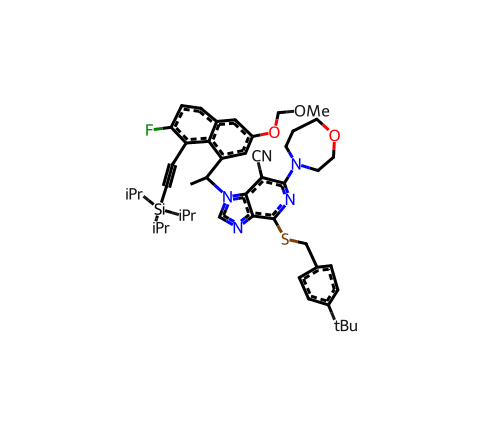 COCOc1cc(C(C)n2cnc3c(SCc4ccc(C(C)(C)C)cc4)nc(N4CCCOCC4)c(C#N)c32)c2c(C#C[Si](C(C)C)(C(C)C)C(C)C)c(F)ccc2c1